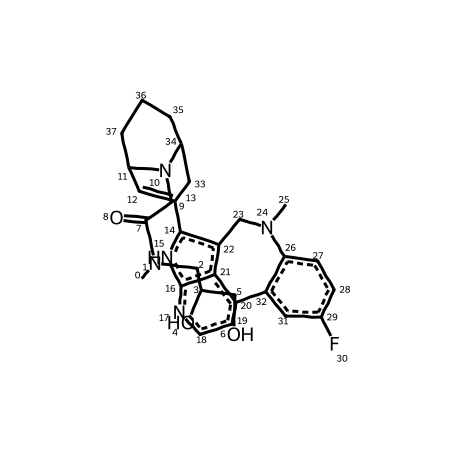 CN(CC(O)CO)C(=O)CN1C2C=C(c3[nH]c4nccc5c4c3CN(C)c3ccc(F)cc3-5)CC1CCC2